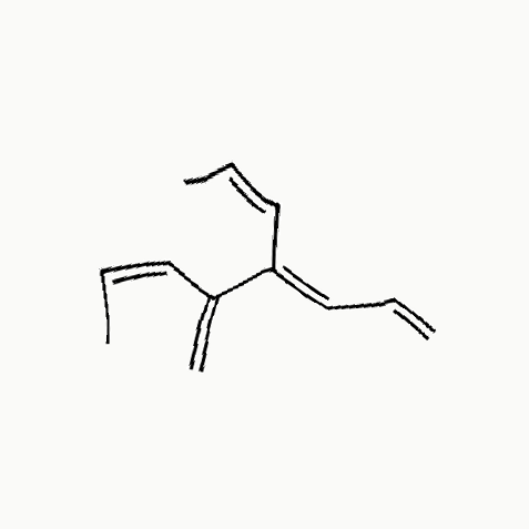 C=C/C=C(\C=C/C)C(=C)/C=C\C